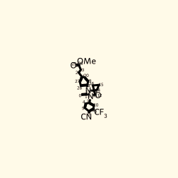 C=C1N(c2ccc(C#N)c(C(F)(F)F)c2)C(=O)C2(CCC2)N1c1ccc(CCC(=O)OC)cc1